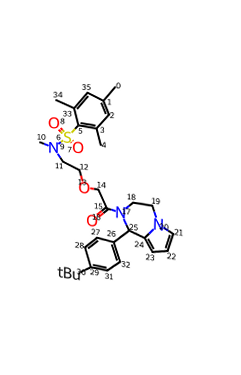 Cc1cc(C)c(S(=O)(=O)N(C)CCOCC(=O)N2CCn3cccc3C2c2ccc(C(C)(C)C)cc2)c(C)c1